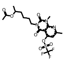 CC(=O)OC(C)CCCCn1c(=O)c2c(OS(=O)(=O)C(F)(F)F)cc(C)nc2n(C)c1=O